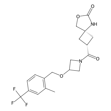 Cc1cc(C(F)(F)F)ccc1COC1CN(C(=O)[C@H]2C[C@@]3(COC(=O)N3)C2)C1